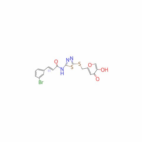 O=C(/C=C/c1cccc(Br)c1)Nc1nnc(SCc2cc(=O)c(O)co2)s1